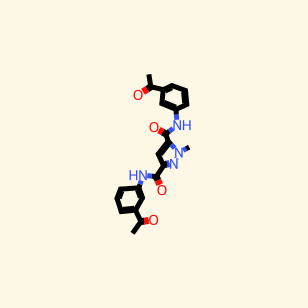 CC(=O)c1cccc(NC(=O)c2cc(C(=O)Nc3cccc(C(C)=O)c3)n(C)n2)c1